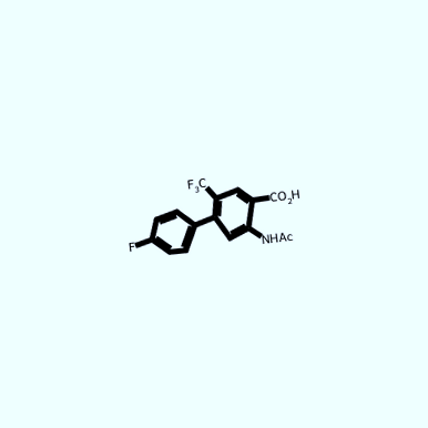 CC(=O)Nc1cc(-c2ccc(F)cc2)c(C(F)(F)F)cc1C(=O)O